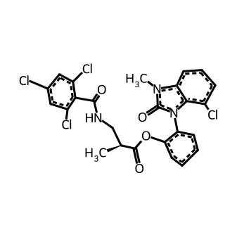 C[C@@H](CNC(=O)c1c(Cl)cc(Cl)cc1Cl)C(=O)Oc1ccccc1-n1c(=O)n(C)c2cccc(Cl)c21